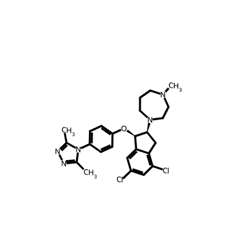 Cc1nnc(C)n1-c1ccc(O[C@@H]2c3cc(Cl)cc(Cl)c3C[C@@H]2N2CCCN(C)CC2)cc1